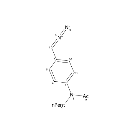 CCCCCN(C(C)=O)c1ccc(C=[N+]=[N-])cc1